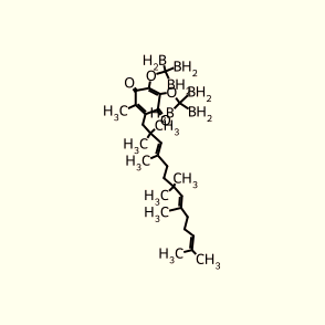 BC(B)(B)OC1=C(OC(B)(B)B)C(=O)C(CC(C)(C)/C=C(\C)CCC(C)(C)/C=C(\C)CCC=C(C)C)=C(C)C1=O